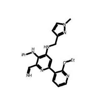 CCOc1ncccc1-c1cc(NCc2ccn(C)n2)c(NC(C)C)c(C=N)n1